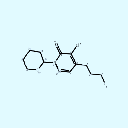 O=c1c(Cl)c(CCCI)cnn1C1CCCCO1